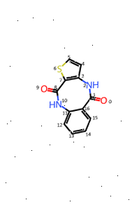 O=C1Nc2ccsc2C(=O)Nc2ccccc21